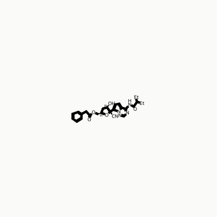 CCC(CC)C(=O)Nc1ncnn2c([C@]3(C#N)O[C@@H](COC(=O)Cc4ccccc4)[CH][C@H]3O)ccc12